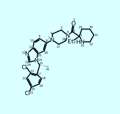 CCC1(C(=O)N2CCN(c3ccc4ncn([C@H](C)c5ccc(Cl)cc5Cl)c4c3)CC2)CCCCN1